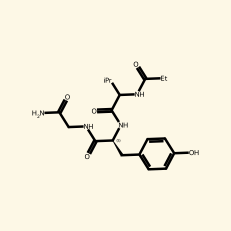 CCC(=O)NC(C(=O)N[C@@H](Cc1ccc(O)cc1)C(=O)NCC(N)=O)C(C)C